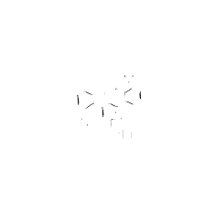 COC(=O)c1ccccc1-c1cc(-c2ccc(C)cc2)c(C#N)c(CC(C)C)n1